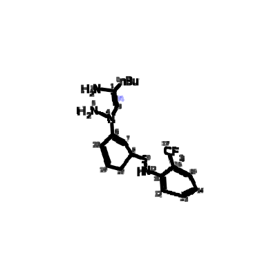 CCCC/C(N)=C/N(N)C1=CC(SNc2ccccc2C(F)(F)F)CC=C1